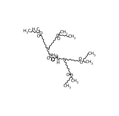 CCCCCCC(CC)OC(=O)CCCCCCCCN(CCCCCCCCC(=O)OC(CC)CCCCCC)CCCNC(=O)c1cccc(C(=O)NCCCN(CCCCCCCCC(=O)OC(CC)CCCCCC)CCCCCCCCC(=O)OC(CC)CCCCCC)c1